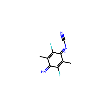 CC1=C(F)/C(=N\C#N)C(C)=C(F)C1=N